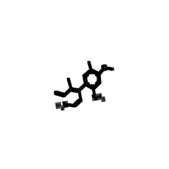 C=C/C(C)=C(\C=C/N)c1cc(C)c(OC)cc1N